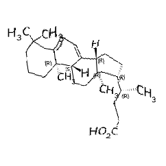 C[C@H](CCC(=O)O)[C@H]1CC[C@H]2C3=CC=C4C(C)(C)CCC[C@]4(C)[C@H]3CC[C@]12C